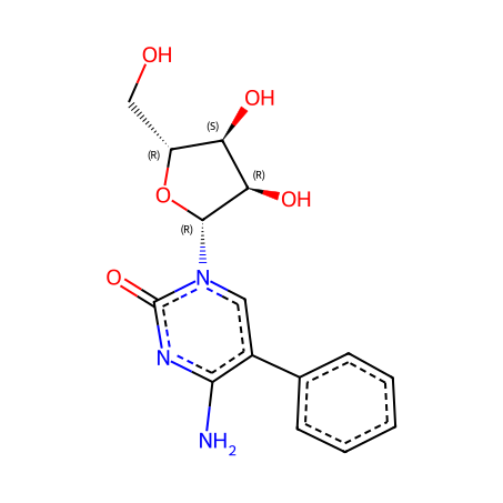 Nc1nc(=O)n([C@@H]2O[C@H](CO)[C@@H](O)[C@H]2O)cc1-c1ccccc1